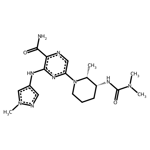 C[C@@H]1[C@H](NC(=O)N(C)C)CCCN1c1cnc(C(N)=O)c(Nc2cnn(C)c2)n1